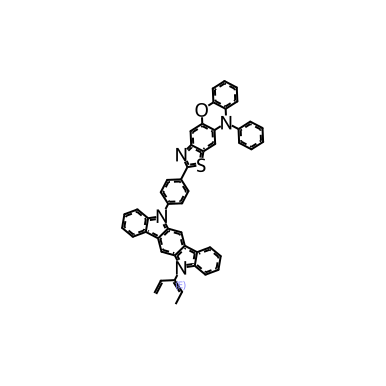 C=C/C(=C\C)n1c2ccccc2c2cc3c(cc21)c1ccccc1n3-c1ccc(-c2nc3cc4c(cc3s2)N(c2ccccc2)c2ccccc2O4)cc1